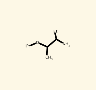 CCC(N)C(C)OC(C)C